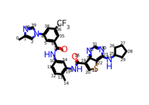 Cc1cn(-c2cc(C(=O)Nc3ccc(C)c(NC(=O)c4csc5c(NC6CCCC6)ncnc45)c3)cc(C(F)(F)F)c2)cn1